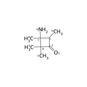 CC1C(=O)C(C)(C)C1(C)N